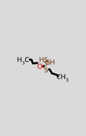 CCCCOC(=S)SCCCC.SS